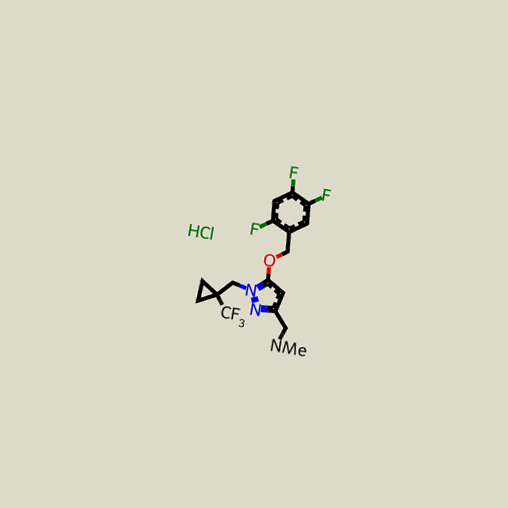 CNCc1cc(OCc2cc(F)c(F)cc2F)n(CC2(C(F)(F)F)CC2)n1.Cl